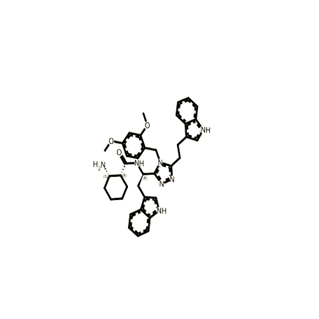 COc1ccc(Cn2c(CCc3c[nH]c4ccccc34)nnc2[C@@H](Cc2c[nH]c3ccccc23)NC(=O)[C@@H]2CCCC[C@@H]2N)c(OC)c1